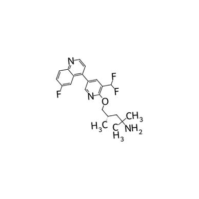 C[C@H](COc1ncc(-c2ccnc3ccc(F)cc23)cc1C(F)F)CC(C)(C)N